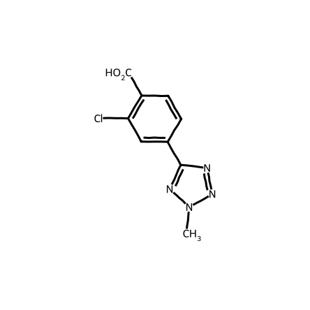 Cn1nnc(-c2ccc(C(=O)O)c(Cl)c2)n1